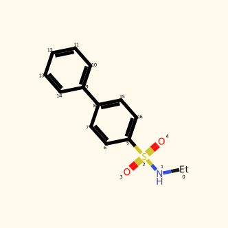 CCNS(=O)(=O)c1ccc(-c2ccccc2)cc1